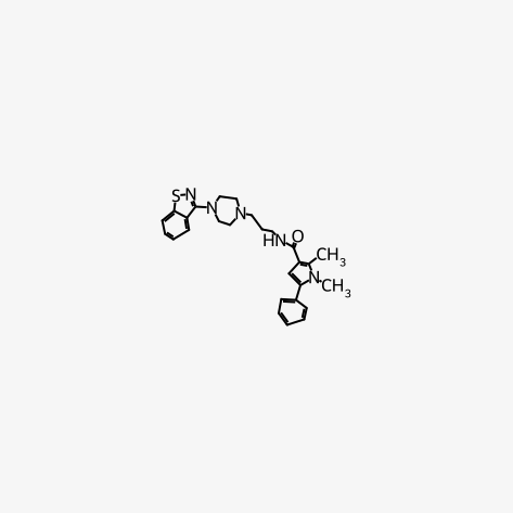 Cc1c(C(=O)NCCCN2CCN(c3nsc4ccccc34)CC2)cc(-c2ccccc2)n1C